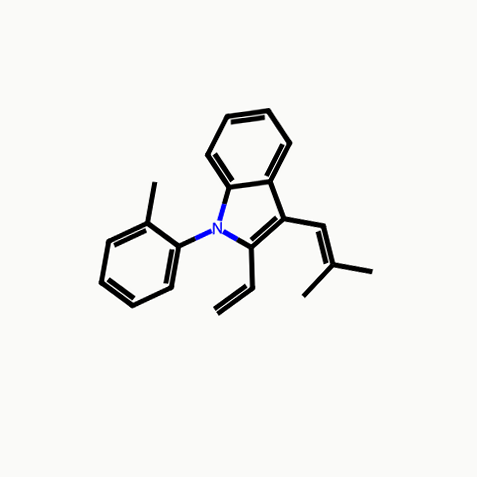 C=Cc1c(C=C(C)C)c2ccccc2n1-c1ccccc1C